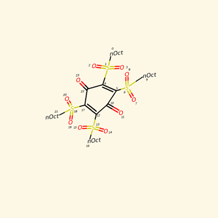 CCCCCCCCS(=O)(=O)C1=C(S(=O)(=O)CCCCCCCC)C(=O)C(S(=O)(=O)CCCCCCCC)=C(S(=O)(=O)CCCCCCCC)C1=O